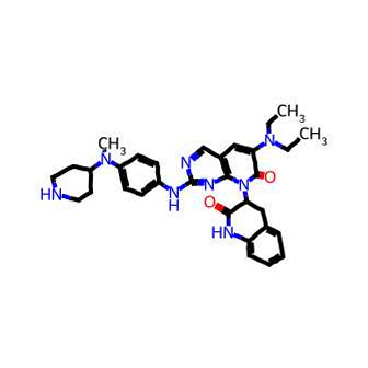 CCN(CC)c1cc2cnc(Nc3ccc(N(C)C4CCNCC4)cc3)nc2n(C2Cc3ccccc3NC2=O)c1=O